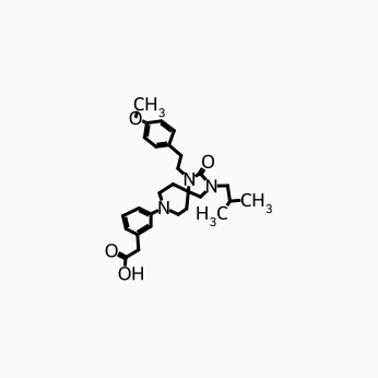 COc1ccc(CCN2C(=O)N(CC(C)C)CC23CCN(c2cccc(CC(=O)O)c2)CC3)cc1